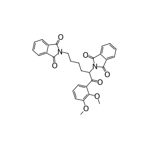 COc1cccc(C(=O)C(CCCCN2C(=O)c3ccccc3C2=O)N2C(=O)c3ccccc3C2=O)c1OC